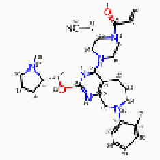 C=CC(=O)N1CCN(c2nc(OC[C@@H]3CCCN3C)nc3c2CCCN(c2ccccc2C)C3)C[C@@H]1CC#N